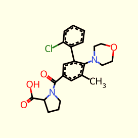 Cc1cc(C(=O)N2CCCC2C(=O)O)cc(-c2ccccc2Cl)c1N1CCOCC1